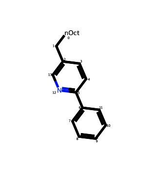 CCCCCCCCCc1ccc(-c2cc[c]cc2)nc1